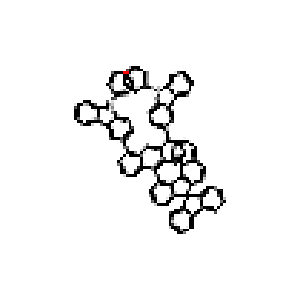 c1ccc(-n2c3ccccc3c3cc(-c4cccc5c(-c6cccc7c6-c6c(ccc8ccccc68)C76c7ccccc7-c7ccccc76)c6cccc(-c7ccc8c(c7)c7ccccc7n8-c7ccccc7)c6cc45)ccc32)cc1